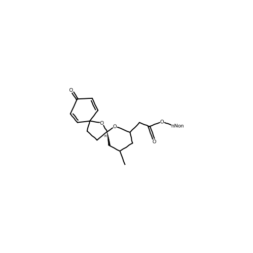 CCCCCCCCCOC(=O)CC1CC(C)C[C@]2(CCC3(C=CC(=O)C=C3)O2)O1